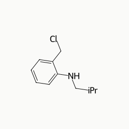 CC(C)CNc1ccccc1CCl